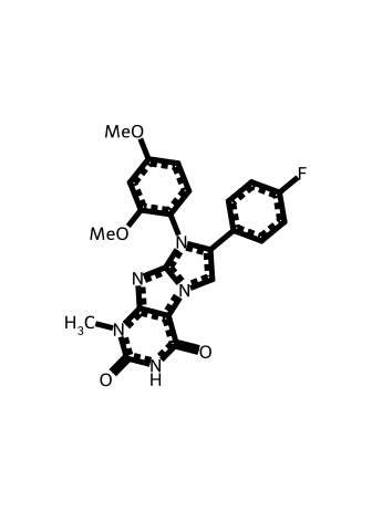 COc1ccc(-n2c(-c3ccc(F)cc3)cn3c4c(=O)[nH]c(=O)n(C)c4nc23)c(OC)c1